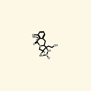 CC(C)(C)OC(=O)N1CC(F)(F)C(CCO)(N[S+]([O-])C(C)(C)C)C1Cc1cccc(Cl)c1F